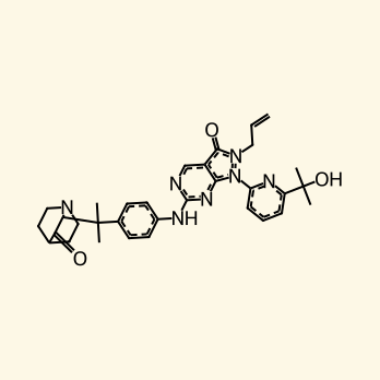 C=CCn1c(=O)c2cnc(Nc3ccc(C(C)(C)C4C(=O)C5CCN4CC5)cc3)nc2n1-c1cccc(C(C)(C)O)n1